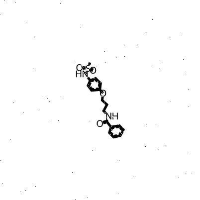 CS(=O)(=O)Nc1ccc(OCCCNC(=O)c2ccccc2)cc1